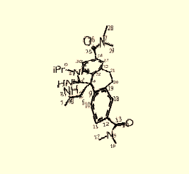 CC(C)NC(=N)C1(C[C@@H](C)N)c2ccc(C(=O)N(C)C)cc2CCc2cc(C(=O)N(C)C)ccc21